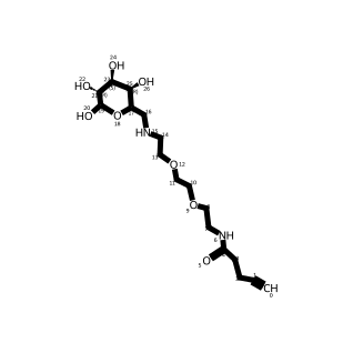 C#CCCC(=O)NCCOCCOCCNCC1OC(O)[C@H](O)[C@@H](O)[C@H]1O